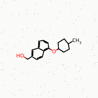 CC1CCC(Oc2cccc3cc(CO)ccc23)CC1